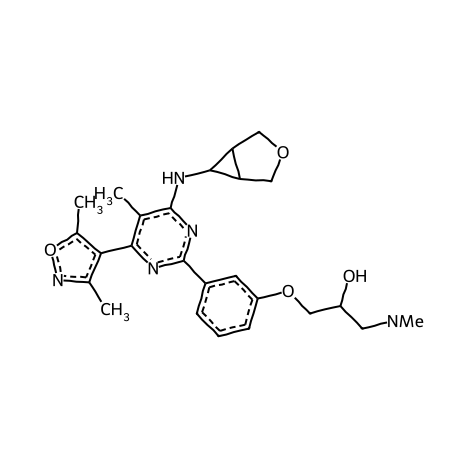 CNCC(O)COc1cccc(-c2nc(NC3C4COCC43)c(C)c(-c3c(C)noc3C)n2)c1